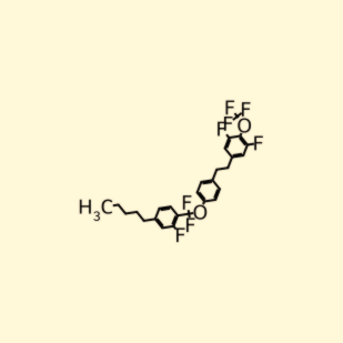 CCCCCc1ccc(C(F)(F)Oc2ccc(CCc3cc(F)c(OC(F)(F)F)c(F)c3)cc2)c(F)c1